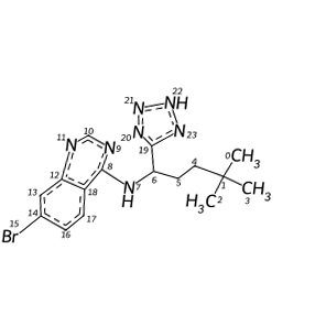 CC(C)(C)CCC(Nc1ncnc2cc(Br)ccc12)c1nn[nH]n1